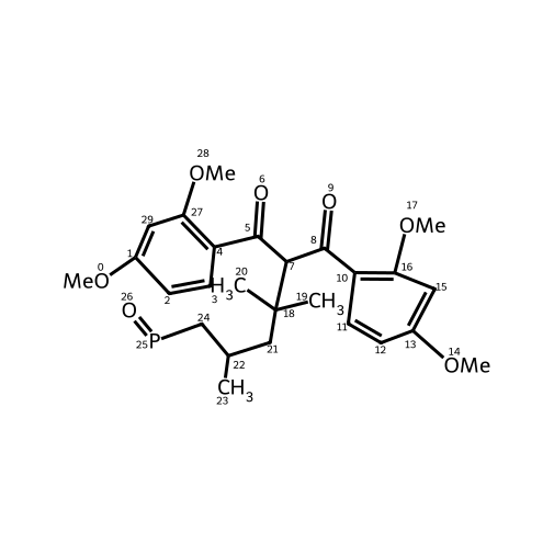 COc1ccc(C(=O)C(C(=O)c2ccc(OC)cc2OC)C(C)(C)CC(C)CP=O)c(OC)c1